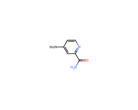 CNc1ccnc(C(N)=O)c1